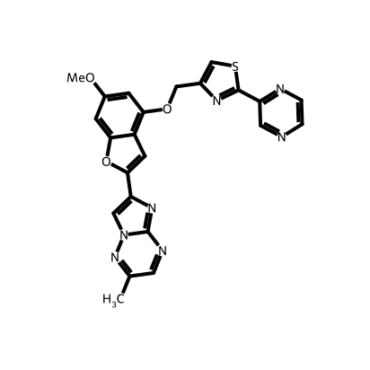 COc1cc(OCc2csc(-c3cnccn3)n2)c2cc(-c3cn4nc(C)cnc4n3)oc2c1